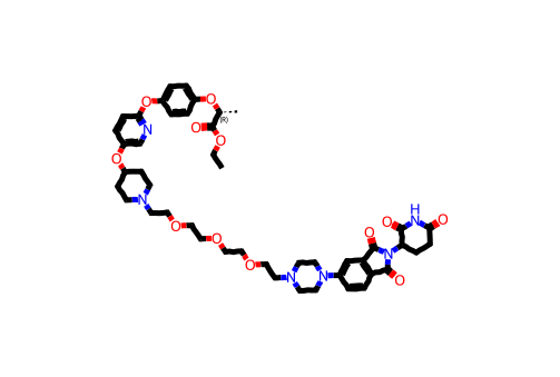 CCOC(=O)[C@@H](C)Oc1ccc(Oc2ccc(OC3CCN(CCOCCOCCOCCN4CCN(c5ccc6c(c5)C(=O)N(C5CCC(=O)NC5=O)C6=O)CC4)CC3)cn2)cc1